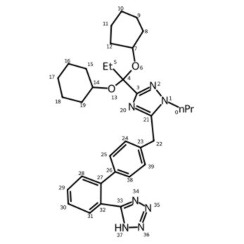 CCCn1nc(C(CC)(OC2CCCCC2)OC2CCCCC2)nc1Cc1ccc(-c2ccccc2-c2nnn[nH]2)cc1